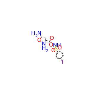 NC(=O)C[C@H](N)C(=O)ONS(=O)(=O)c1ccc(I)cc1